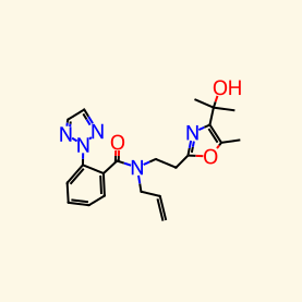 C=CCN(CCc1nc(C(C)(C)O)c(C)o1)C(=O)c1ccccc1-n1nccn1